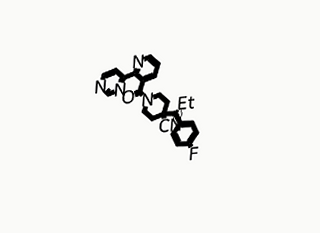 CC[C@@H](c1ccc(F)cc1)C1(C#N)CCN(C(=O)c2cccnc2-c2ccncn2)CC1